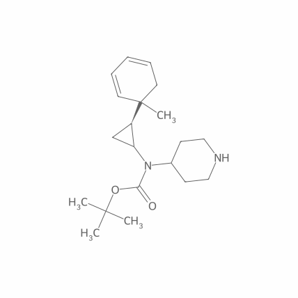 CC(C)(C)OC(=O)N(C1CCNCC1)C1C[C@H]1C1(C)C=CC=CC1